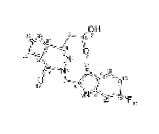 O=C(O)Cc1nn(Cc2nc3cc(F)ccc3s2)c(=O)c2cscc12